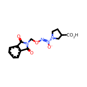 O=C(O)C1CCN([N+]([O-])=NOCN2C(=O)c3ccccc3C2=O)C1